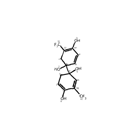 OC1=CCC(O)(C2(O)C=CC(O)=C(C(F)(F)F)C2)C=C1C(F)(F)F